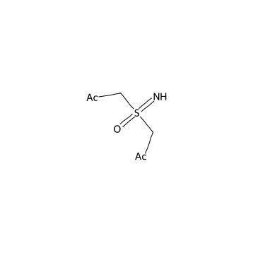 CC(=O)CS(=N)(=O)CC(C)=O